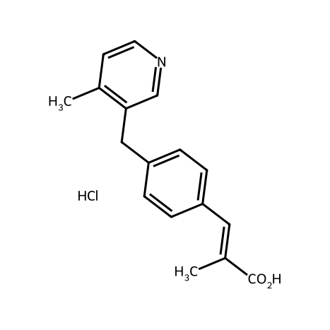 CC(=Cc1ccc(Cc2cnccc2C)cc1)C(=O)O.Cl